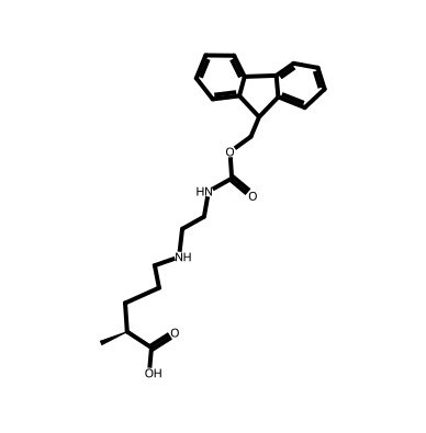 C[C@@H](CCCNCCNC(=O)OCC1c2ccccc2-c2ccccc21)C(=O)O